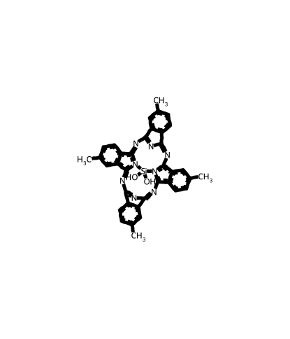 Cc1ccc2c(c1)C1=NC/2=N\c2c3cc(C)ccc3c3n2[Si](O)(O)n2/c(c4ccc(C)cc4/c2=N/C2=NC(=N\3)/c3cc(C)ccc32)=N\1